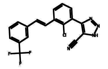 N#Cc1[nH]nnc1-c1cccc(C=Cc2cccc(C(F)(F)F)c2)c1Cl